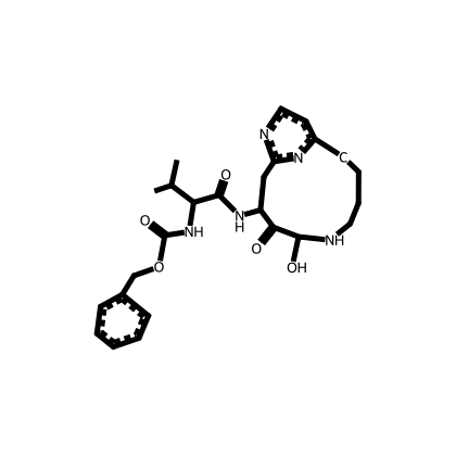 CC(C)C(NC(=O)OCc1ccccc1)C(=O)NC1Cc2nccc(n2)CCCCNC(O)C1=O